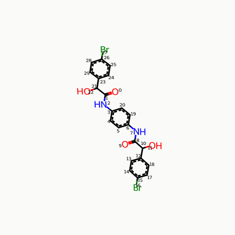 O=C(Nc1ccc(NC(=O)C(O)c2ccc(Br)cc2)cc1)C(O)c1ccc(Br)cc1